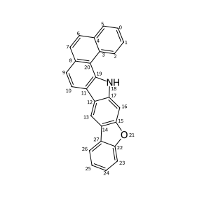 c1ccc2c(c1)ccc1ccc3c4cc5c(cc4[nH]c3c12)oc1ccccc15